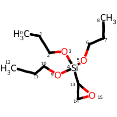 CCCO[Si](OCCC)(OCCC)C1CO1